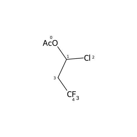 CC(=O)OC(Cl)CC(F)(F)F